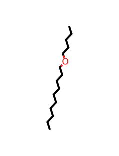 CCCCCCCCCCOCCCCC